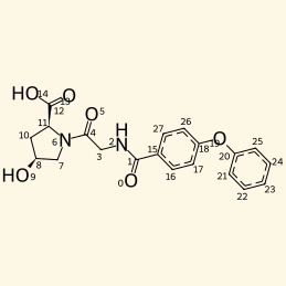 O=C(NCC(=O)N1C[C@@H](O)C[C@H]1C(=O)O)c1ccc(Oc2ccccc2)cc1